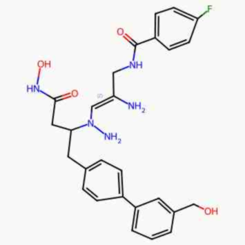 N/C(=C\N(N)C(CC(=O)NO)Cc1ccc(-c2cccc(CO)c2)cc1)CNC(=O)c1ccc(F)cc1